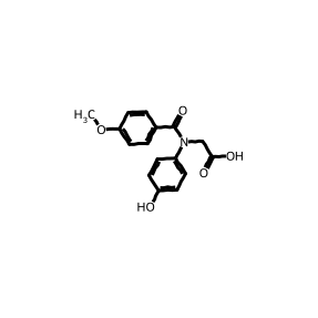 COc1ccc(C(=O)N(CC(=O)O)c2ccc(O)cc2)cc1